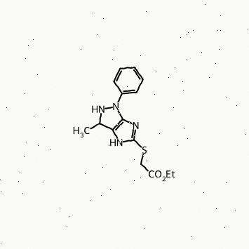 CCOC(=O)CSc1nc2c([nH]1)C(C)NN2c1ccccc1